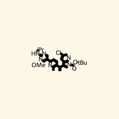 C=C(c1ccc(-c2cnc(NC(C)C)nc2OC)nc1C)c1cn(C(=O)OC(C)(C)C)c2ncc(Cl)cc12